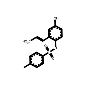 Cc1ccc(S(=O)(=O)Oc2ccc(O)cc2/C=C/C(=O)O)cc1